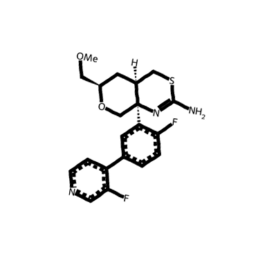 COC[C@H]1C[C@H]2CSC(N)=N[C@@]2(c2cc(-c3ccncc3F)ccc2F)CO1